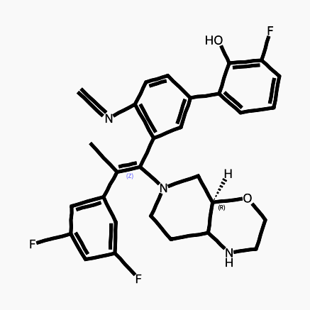 C=Nc1ccc(-c2cccc(F)c2O)cc1/C(=C(\C)c1cc(F)cc(F)c1)N1CCC2NCCO[C@@H]2C1